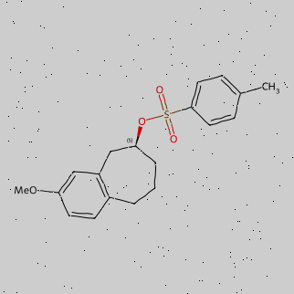 COc1ccc2c(c1)C[C@@H](OS(=O)(=O)c1ccc(C)cc1)CCC2